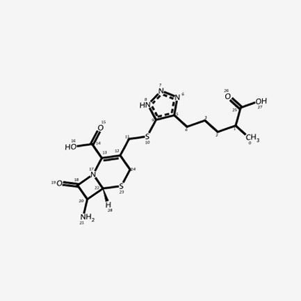 CC(CCCc1nn[nH]c1SCC1=C(C(=O)O)N2C(=O)C(N)[C@H]2SC1)C(=O)O